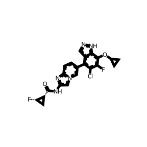 O=C(Nc1cn2cc(-c3c(Cl)c(F)c(OC4CC4)c4[nH]ncc34)ccc2n1)[C@@H]1C[C@@H]1F